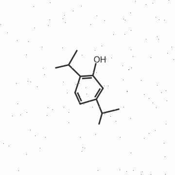 CC(C)c1ccc(C(C)C)c(O)c1